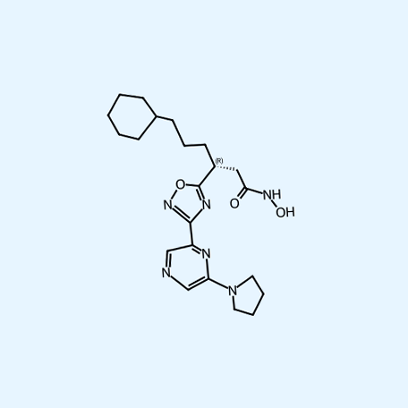 O=C(C[C@@H](CCCC1CCCCC1)c1nc(-c2cncc(N3CCCC3)n2)no1)NO